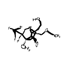 COC[C@@]1(CO)C(=O)[C@@]2(C)CCN1C[C@H]2C(F)(F)F